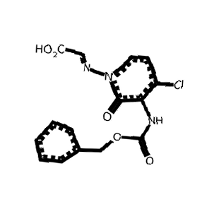 O=C(O)C=Nn1ccc(Cl)c(NC(=O)OCc2ccccc2)c1=O